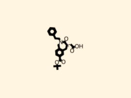 CC(C)(C)OC(=O)c1ccc2c(c1)C[C@@H](CC(=O)O)C(=O)N(CCc1ccccc1)C2